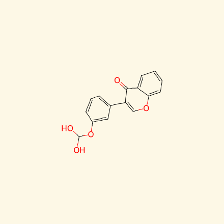 O=c1c(-c2cccc(OC(O)O)c2)coc2ccccc12